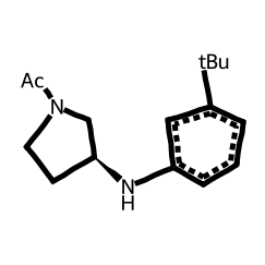 CC(=O)N1CC[C@H](Nc2cccc(C(C)(C)C)c2)C1